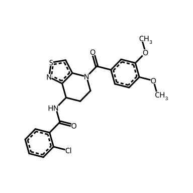 COc1ccc(C(=O)N2CCC(NC(=O)c3ccccc3Cl)c3nscc32)cc1OC